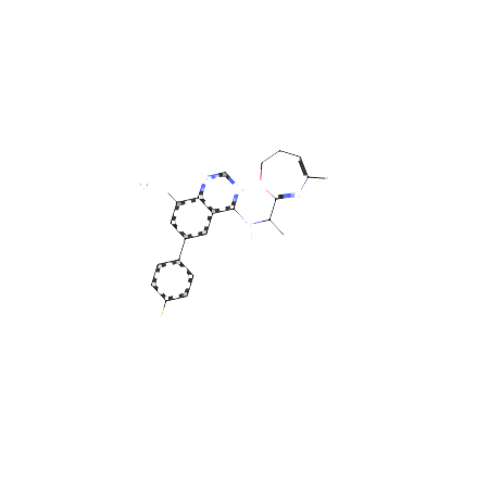 CCC1=CCCOC(C(C)Nc2ncnc3c(OC)cc(-c4ccc(F)cc4)cc23)=N1